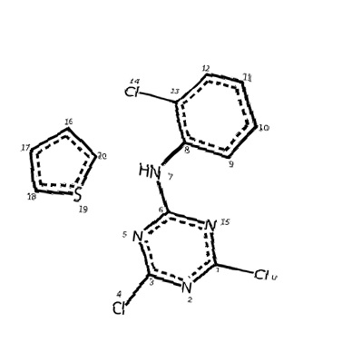 Clc1nc(Cl)nc(Nc2ccccc2Cl)n1.c1ccsc1